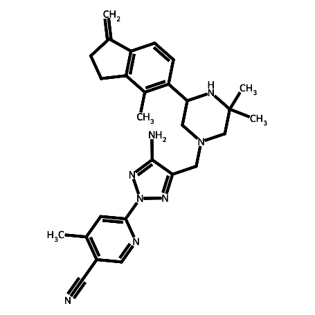 C=C1CCc2c1ccc(C1CN(Cc3nn(-c4cc(C)c(C#N)cn4)nc3N)CC(C)(C)N1)c2C